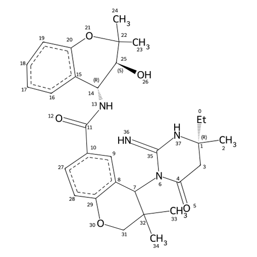 CC[C@]1(C)CC(=O)N(C2c3cc(C(=O)N[C@@H]4c5ccccc5OC(C)(C)[C@H]4O)ccc3OCC2(C)C)C(=N)N1